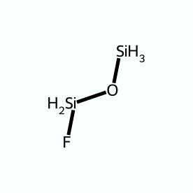 F[SiH2]O[SiH3]